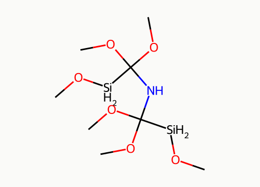 CO[SiH2]C(NC(OC)(OC)[SiH2]OC)(OC)OC